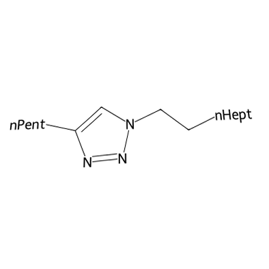 CCCCCCCCCn1cc(CCCCC)nn1